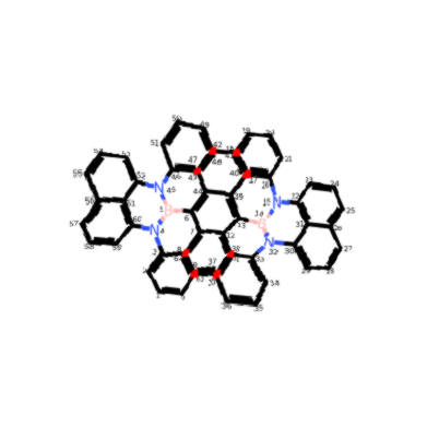 c1ccc(N2B(c3c4ccccc4c(B4N(c5ccccc5)c5cccc6cccc(c56)N4c4ccccc4)c4ccccc34)N(c3ccccc3)c3cccc4cccc2c34)cc1